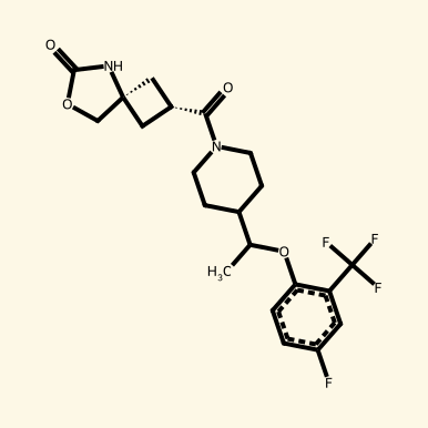 CC(Oc1ccc(F)cc1C(F)(F)F)C1CCN(C(=O)[C@H]2C[C@@]3(COC(=O)N3)C2)CC1